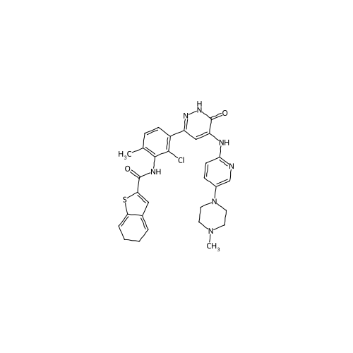 Cc1ccc(-c2cc(Nc3ccc(N4CCN(C)CC4)cn3)c(=O)[nH]n2)c(Cl)c1NC(=O)c1cc2c(s1)=CCCC=2